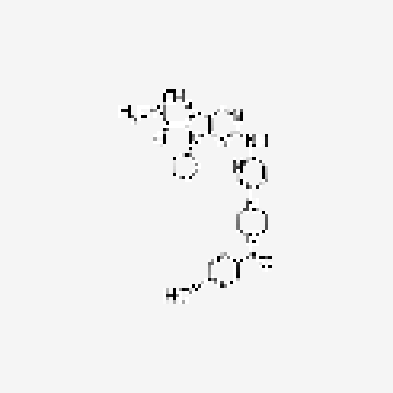 C#Cc1ccc(C(=O)N2CCN(c3ccc(Nc4ncc5cc(C(=O)N(C)C)n(C6CCCC6)c5n4)nc3)CC2)cc1